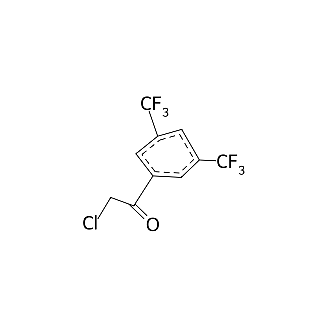 O=C(CCl)c1cc(C(F)(F)F)cc(C(F)(F)F)c1